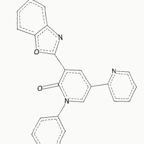 O=c1c(-c2nc3ccccc3o2)cc(-c2ccccn2)cn1-c1ccccc1